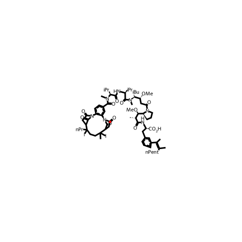 CCCCC/C(C)=C(/C)c1cccc(C[C@H](NC(=O)[C@H](C)[C@@H](OC)[C@@H]2CCCN2C(=O)C[C@@H](OC)[C@H]([C@@H](C)CC)N(C)C(=O)[C@@H](NC(=O)[C@H](C(C)C)N(C)C(=O)c2ccc3c(c2)N2C(=O)CC(C2=O)C(C)(I)CCC(I)(CCC)C2CC(=O)N3C2=O)C(C)C)C(=O)O)c1